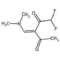 CC(=O)C(=CN(C)C)C(=O)C(F)F